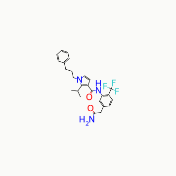 CC(C)c1c(C(=O)Nc2cc(CC(N)=O)ccc2C(F)(F)F)ccn1CCCc1ccccc1